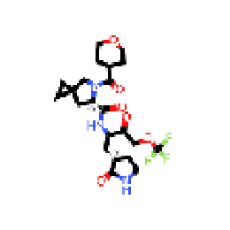 O=C(COC(F)(F)F)C(C[C@@H]1CCNC1=O)NC(=O)[C@@H]1CC2(CC2)CN1C(=O)C1CCOCC1